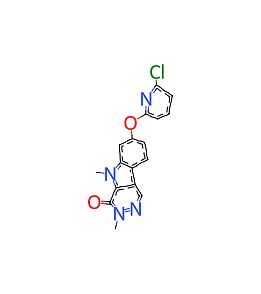 Cn1ncc2c3ccc(Oc4cccc(Cl)n4)cc3n(C)c2c1=O